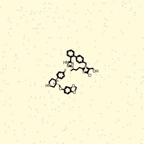 CCCCc1nc(Cl)c(CO)n1Cc1ccc(-c2ccccc2-c2nnn[nH]2)cc1.Fc1ccc([C@@H]2CCNC[C@H]2COc2ccc3c(c2)OCO3)cc1